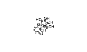 CCC1=CC=CC(O[C@@H]2O[C@H](CO)[C@@H](O)[C@H](O)[C@H]2O)C1(O)OC